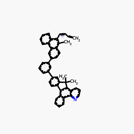 C=C/C=C\c1c(C)c2ccc(-c3cccc(-c4ccc5c(c4)C(C)(C)c4c-5c5ccccc5c5ncccc45)c3)cc2c2ccccc12